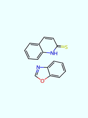 S=c1ccc2ccccc2[nH]1.c1ccc2ocnc2c1